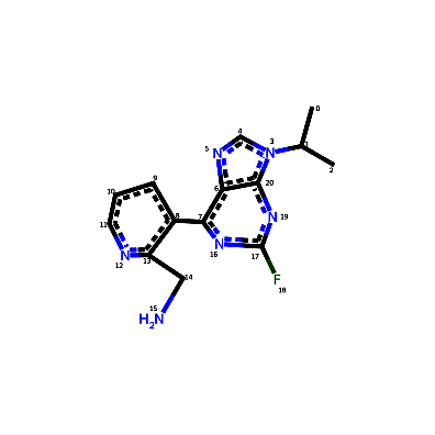 CC(C)n1cnc2c(-c3cccnc3CN)nc(F)nc21